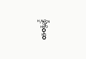 N#CCC(OC(N)=O)C(=O)Nc1ccc(-c2nc3ccccc3s2)cc1